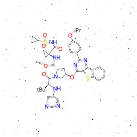 C=C[C@@H]1C[C@]1(NC(=O)[C@@H]1C[C@@H](Oc2nc(-c3ccc(OC(C)C)cc3)nc3c2sc2ccccc23)CN1C(=O)[C@@H](Nc1cncnc1)C(C)(C)C)C(=O)NS(=O)(=O)C1CC1